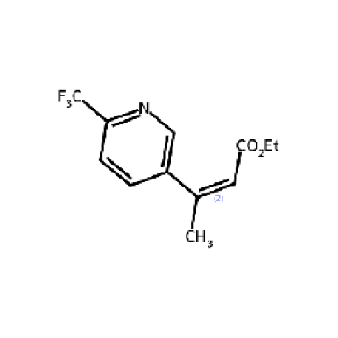 CCOC(=O)/C=C(/C)c1ccc(C(F)(F)F)nc1